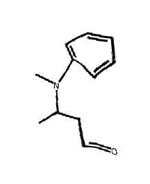 CC(CC=O)N(C)c1ccccc1